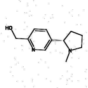 CN1CCC[C@H]1c1ccc(CO)nc1